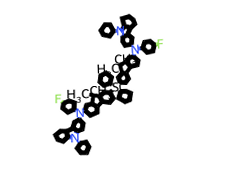 CC1(C)c2cc(N(c3ccc(F)cc3)c3ccc4c(c3)c3ccccc3n4-c3ccccc3)ccc2-c2ccc([Si](c3ccccc3)(c3ccccc3)c3ccc4c(c3)C(C)(C)c3cc(N(c5ccc(F)cc5)c5ccc6c(c5)c5ccccc5n6-c5ccccc5)ccc3-4)cc21